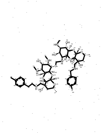 CN[C@@H]1[C@H](O)[C@H](NCO[C@H]2[C@H](NC)[C@H](O)[C@H](NC)[C@H]3O[C@]4(O)[C@H](O[C@@H]32)O[C@H](C)C[C@@]4(O)CNCCc2ccc(C)cc2)[C@H]2O[C@]3(O)[C@H](O[C@@H]2[C@H]1O)O[C@H](C)C[C@]3(O)CNCc1ccc(F)cc1